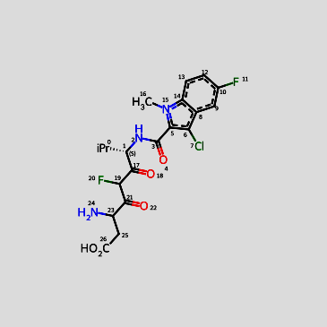 CC(C)[C@H](NC(=O)c1c(Cl)c2cc(F)ccc2n1C)C(=O)C(F)C(=O)C(N)CC(=O)O